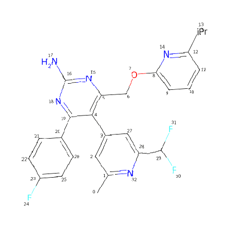 Cc1cc(-c2c(COc3cccc(C(C)C)n3)nc(N)nc2-c2ccc(F)cc2)cc(C(F)F)n1